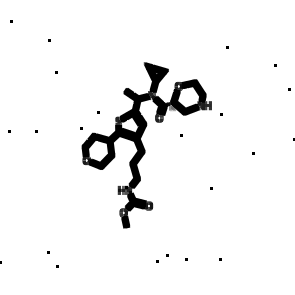 COC(=O)NCCCc1cc(C(C)N(C(=O)[C@H]2CNCCO2)C2CC2)sc1C1CCOCC1